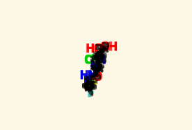 O=C(Nc1nc2ccc(F)cc2s1)c1ccc(-c2ncc([C@H](O)CO)cc2Cl)nc1